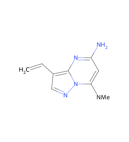 C=Cc1cnn2c(NC)cc(N)nc12